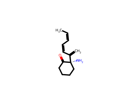 C=C(/C=C\C=C/C)[C@@]1(N)CCCCC1=O